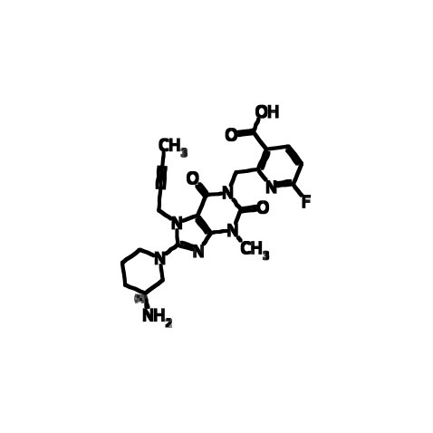 CC#CCn1c(N2CCC[C@H](N)C2)nc2c1c(=O)n(Cc1nc(F)ccc1C(=O)O)c(=O)n2C